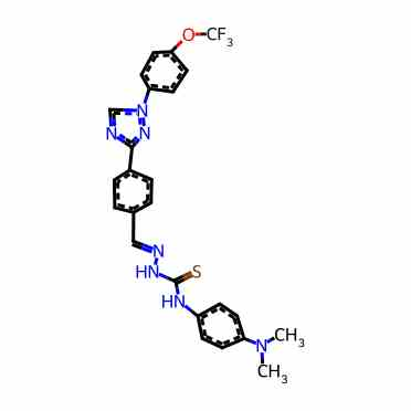 CN(C)c1ccc(NC(=S)NN=Cc2ccc(-c3ncn(-c4ccc(OC(F)(F)F)cc4)n3)cc2)cc1